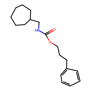 O=C(NCC1CCCCCC1)OCCCc1ccccc1